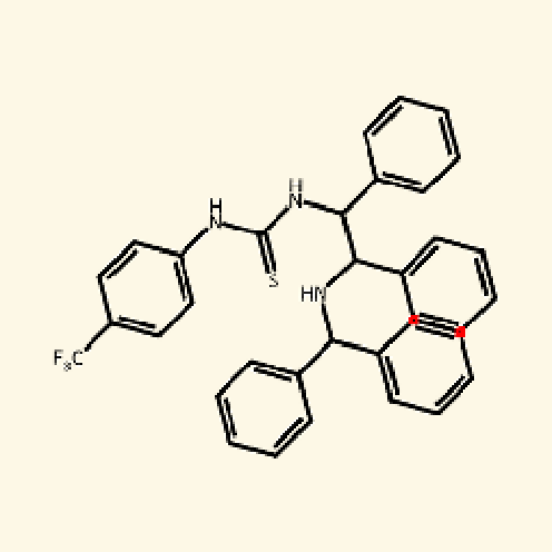 FC(F)(F)c1ccc(NC(=S)NC(c2ccccc2)C(NC(c2ccccc2)c2ccccc2)c2ccccc2)cc1